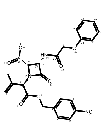 C=C(C)[C@H](C(=O)OCc1ccc([N+](=O)[O-])cc1)N1C(=O)[C@@H](NC(=O)COc2ccccc2)[C@H]1S(=O)O